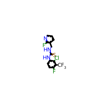 Fc1ccc(NC(=S)NCc2cccnc2F)c(Cl)c1C(F)(F)F